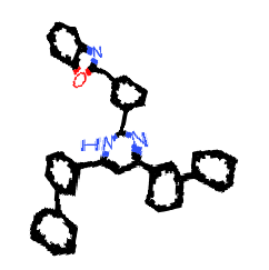 C1=C(c2cccc(-c3ccccc3)c2)NC(c2cccc(-c3nc4ccccc4o3)c2)N=C1c1cccc(-c2ccccc2)c1